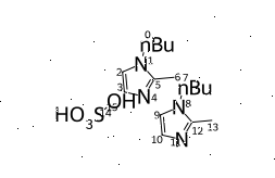 CCCCn1ccnc1C.CCCCn1ccnc1C.O=S(=O)(O)O